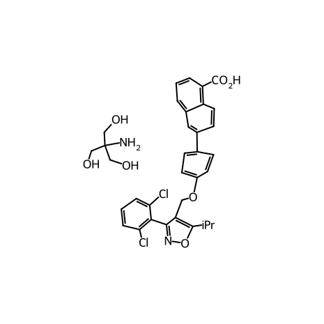 CC(C)c1onc(-c2c(Cl)cccc2Cl)c1COc1ccc(-c2ccc3c(C(=O)O)cccc3c2)cc1.NC(CO)(CO)CO